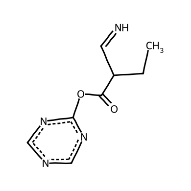 CCC(C=N)C(=O)Oc1ncncn1